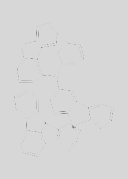 c1ccc(N(c2cc(C3(c4ccccc4)c4ccccc4-c4ccccc43)c3oc4ccccc4c3c2)c2cccc3sc4ccccc4c23)cc1